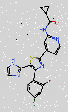 O=C(Nc1cc(-c2nc(-c3ccc(Cl)cc3I)c(-c3ncc[nH]3)s2)ccn1)C1CC1